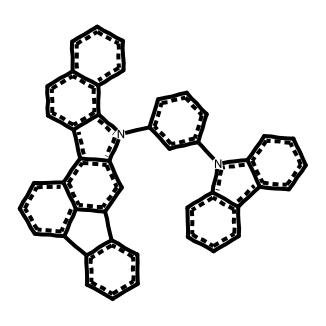 c1cc(-n2c3ccccc3c3ccccc32)cc(-n2c3cc4c5c(cccc5c3c3ccc5ccccc5c32)-c2ccccc2-4)c1